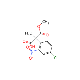 COC(=O)C(C)(C(=O)O)c1ccc(Cl)cc1[N+](=O)[O-]